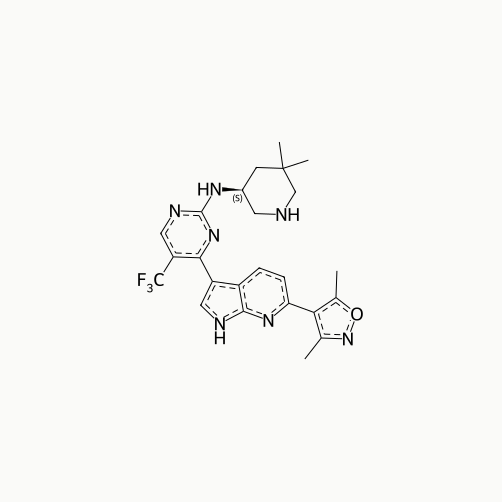 Cc1noc(C)c1-c1ccc2c(-c3nc(N[C@@H]4CNCC(C)(C)C4)ncc3C(F)(F)F)c[nH]c2n1